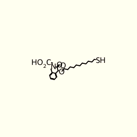 O=C(O)CN1Cc2ccccc2C(OC(=O)CCCCCCCCCCS)C1=O